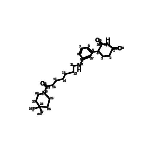 O=C1CCC(c2cccc(NCCCCCCC(=O)N3CCC(F)(F)CC3)c2)C(=O)N1